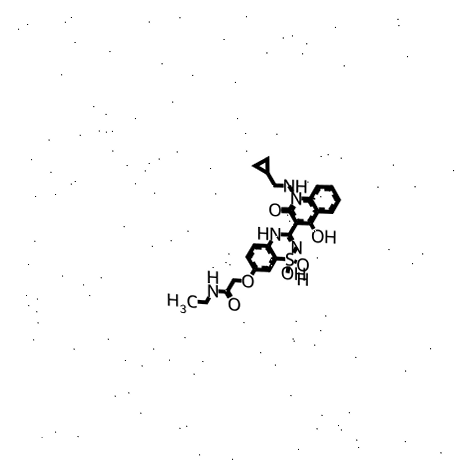 CCNC(=O)COc1ccc2c(c1)S(O)(O)N=C(c1c(O)c3ccccc3n(NCC3CC3)c1=O)N2